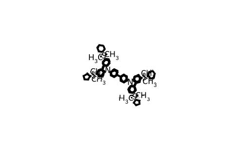 CS(C)(c1ccc2c(c1)c1cc(S(C)(C)C3CCCC3)ccc1n2-c1ccc(-c2ccc(-n3c4ccc(S(C)(C)C5CCCCC5)cc4c4cc(S(C)(C)C5CCCC5)ccc43)cc2)cc1)C1CCCCC1